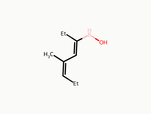 CC/C=C(C)\C=C(\BO)CC